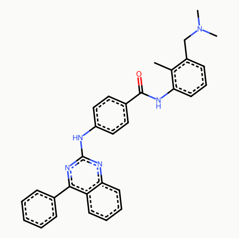 Cc1c(CN(C)C)cccc1NC(=O)c1ccc(Nc2nc(-c3ccccc3)c3ccccc3n2)cc1